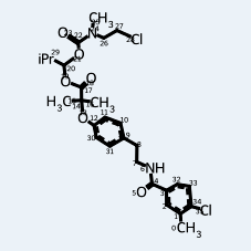 Cc1cc(C(=O)NCCc2ccc(OC(C)(C)C(=O)OC(OC(=O)N(C)CCCl)C(C)C)cc2)ccc1Cl